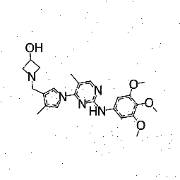 COc1cc(Nc2ncc(C)c(-n3cc(C)c(CN4CC(O)C4)c3)n2)cc(OC)c1OC